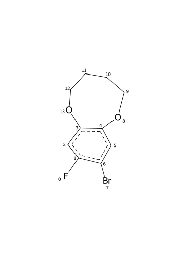 Fc1cc2c(cc1Br)OCCCCO2